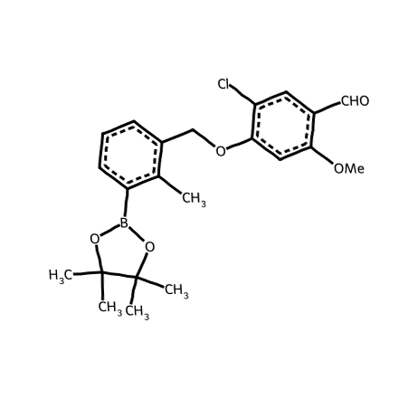 COc1cc(OCc2cccc(B3OC(C)(C)C(C)(C)O3)c2C)c(Cl)cc1C=O